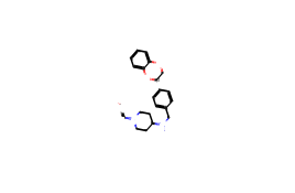 CN(Cc1ccc([C@H]2COc3ccccc3O2)cc1)C1CCN(C=C=O)CC1